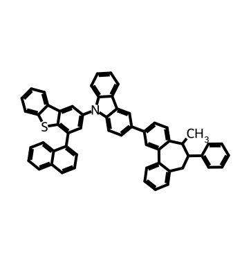 CC1c2ccc(-c3ccc4c(c3)c3ccccc3n4-c3cc(-c4cccc5ccccc45)c4sc5ccccc5c4c3)cc2-c2ccccc2CC1c1ccccc1